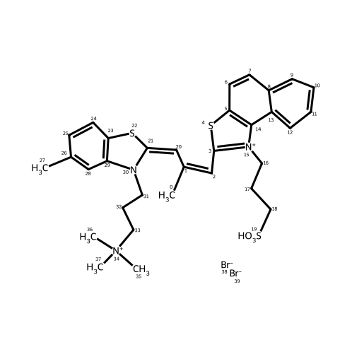 CC(=Cc1sc2ccc3ccccc3c2[n+]1CCCS(=O)(=O)O)C=C1Sc2ccc(C)cc2N1CCC[N+](C)(C)C.[Br-].[Br-]